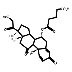 CC(=O)OCC(=O)[C@@]1(O)CCC2C3C(C(=O)C[C@@]21C)[C@@]1(C)C=CC(=O)C=C1C[C@H]3OC(=O)CCCC(=O)O